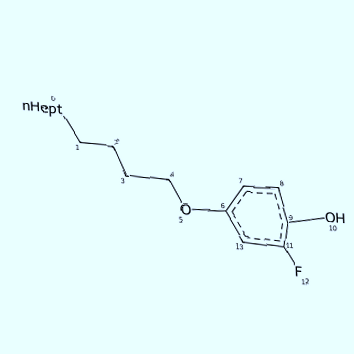 CCCCCCCCCCCOc1ccc(O)c(F)c1